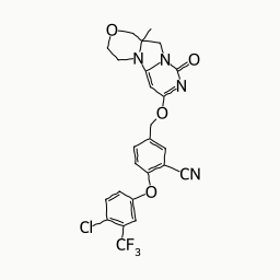 CC12COCCN1c1cc(OCc3ccc(Oc4ccc(Cl)c(C(F)(F)F)c4)c(C#N)c3)nc(=O)n1C2